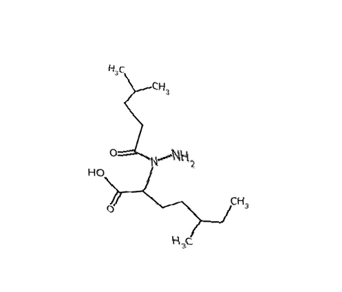 CCC(C)CCC(C(=O)O)N(N)C(=O)CCC(C)C